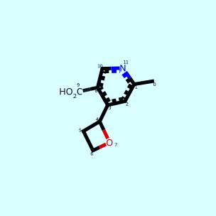 Cc1cc(C2CCO2)c(C(=O)O)cn1